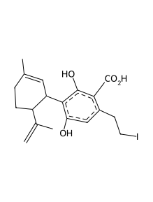 C=C(C)C1CCC(C)=CC1c1c(O)cc(CCI)c(C(=O)O)c1O